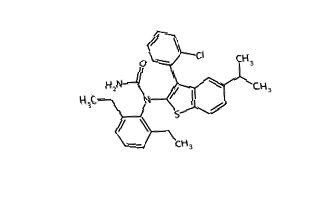 CCc1cccc(CC)c1N(C(N)=O)c1sc2ccc(C(C)C)cc2c1-c1ccccc1Cl